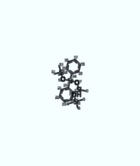 C[SiH](O[Si](C)(C)C)O[Si](O[Si](C)(C)C)(c1ccccc1)c1ccccc1